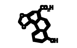 O=C(O)c1cc2c(c3c1ccc1c(O)cccc13)OCO2